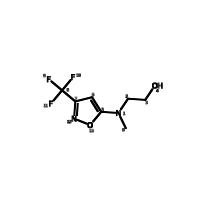 CN(CCO)c1cc(C(F)(F)F)no1